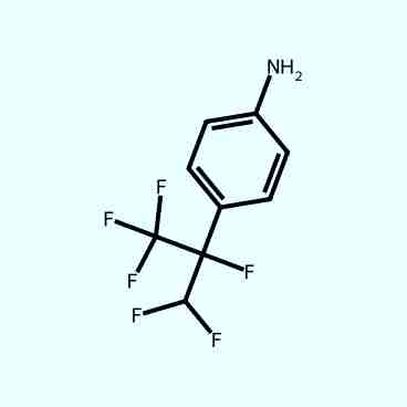 Nc1ccc(C(F)(C(F)F)C(F)(F)F)cc1